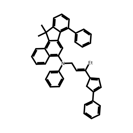 CC/C(=C\CN(c1ccccc1)c1cc2c(c3ccccc13)C(C)(C)c1cccc(-c3ccccc3)c1-2)C1=CC=C(c2ccccc2)C1